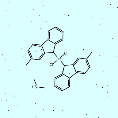 C[SiH]C.Cc1ccc2c(c1)[CH]([Hf]([Cl])([Cl])[CH]1c3ccccc3-c3ccc(C)cc31)c1ccccc1-2